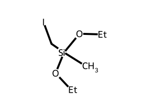 CCO[Si](C)(CI)OCC